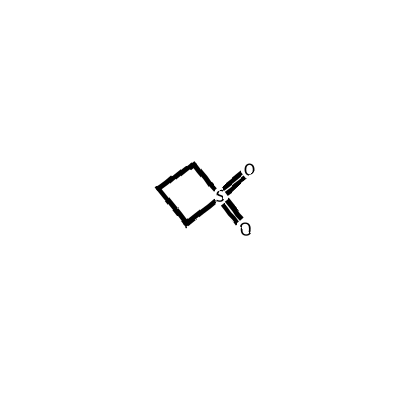 O=S1(=O)[CH]CC1